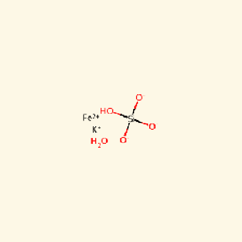 O.[Fe+2].[K+].[O-][Si]([O-])([O-])O